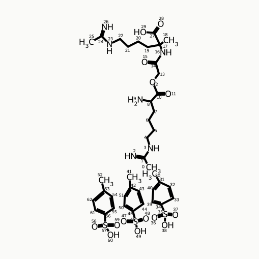 CC(=N)NCCCCC(N)C(=O)OCC(=O)NC(C)(CCCCNC(C)=N)C(=O)O.Cc1ccc(S(=O)(=O)O)cc1.Cc1ccc(S(=O)(=O)O)cc1.Cc1ccc(S(=O)(=O)O)cc1